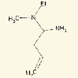 C=CCC(N)N(C)CC